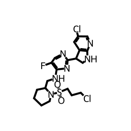 O=S(=O)(CCCCl)N1CCCCC1CNc1nc(C2CNc3ncc(Cl)cc32)ncc1F